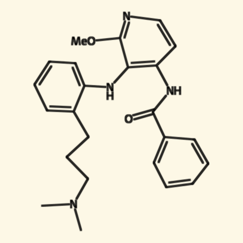 COc1nccc(NC(=O)c2ccccc2)c1Nc1ccccc1CCCN(C)C